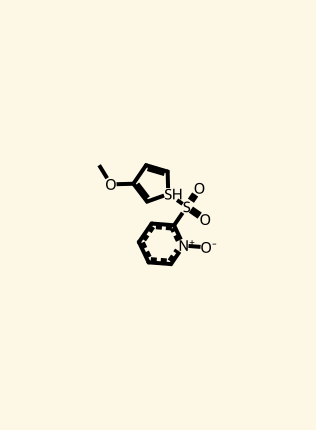 COC1=C[SH](S(=O)(=O)c2cccc[n+]2[O-])C=C1